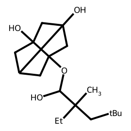 CCC(C)(CC(C)(C)C)C(O)OC12CC3CC1(O)CC3(O)C2